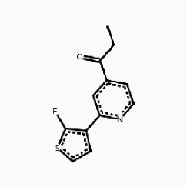 CCC(=O)c1ccnc(-c2ccsc2F)c1